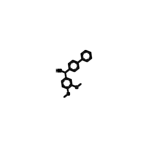 COc1ccc(C(O)c2ccc(-c3ccccc3)cc2)cc1OC